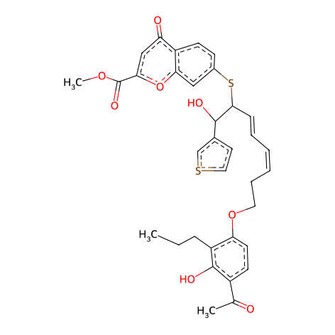 CCCc1c(OCC/C=C\C=C\C(Sc2ccc3c(=O)cc(C(=O)OC)oc3c2)C(O)c2ccsc2)ccc(C(C)=O)c1O